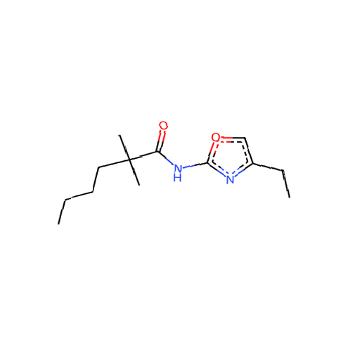 CCCCC(C)(C)C(=O)Nc1nc(CC)co1